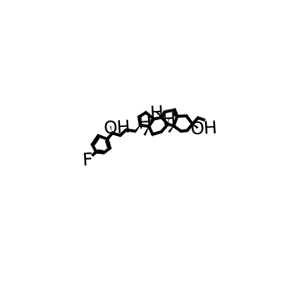 CC[C@]1(O)CC[C@@]2(C)C(=CC[C@H]3[C@@H]4CC[C@H](CCC[C@@H](O)c5ccc(F)cc5)[C@@]4(C)CC[C@@H]32)C1